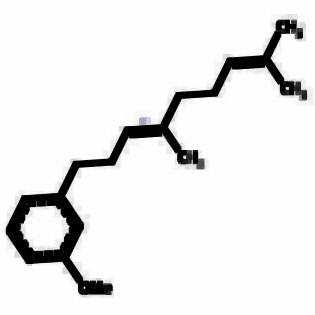 COc1cccc(CC/C=C(\C)CCC=C(C)C)c1